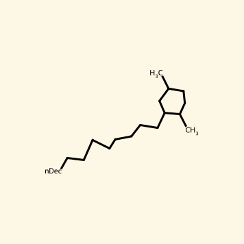 CCCCCCCCCCCCCCCCCCC1CC(C)CCC1C